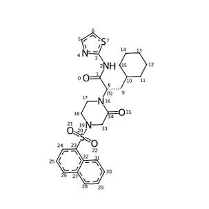 O=C(Nc1nccs1)[C@H](CC1CCCCC1)N1CCN(S(=O)(=O)c2cccc3ccccc23)CC1=O